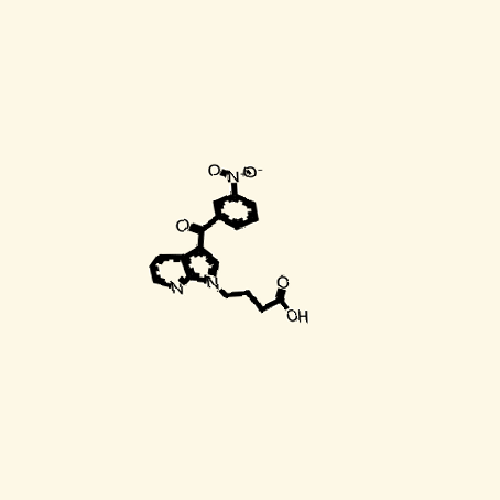 O=C(O)CCCn1cc(C(=O)c2cccc([N+](=O)[O-])c2)c2cccnc21